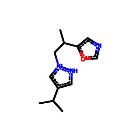 CC(C)c1c[nH][n+](CC(C)c2cnco2)c1